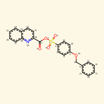 O=C(OS(=O)(=O)c1ccc(OCc2ccccc2)cc1)c1ccc2ccccc2n1